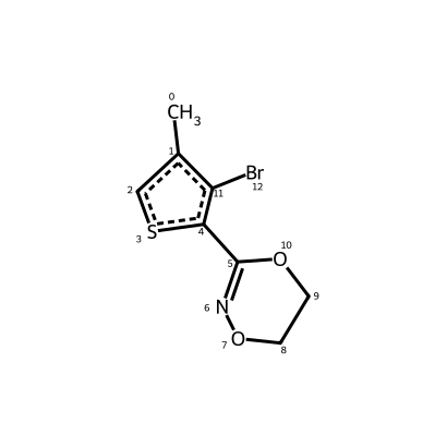 Cc1csc(C2=NOCCO2)c1Br